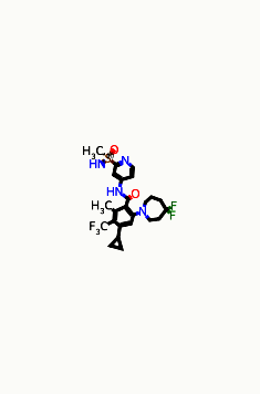 Cc1c(C(=O)Nc2ccnc([S@](C)(=N)=O)c2)c(N2CCCC(F)(F)CC2)cc(C2CC2)c1C(F)(F)F